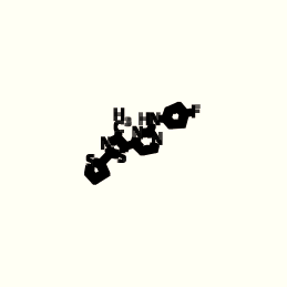 Cc1nc(-c2cccs2)sc1-c1ccnc(Nc2ccc(F)cc2)n1